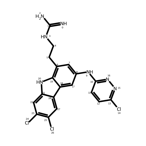 N=C(N)NCCc1cc(Nc2ccc(Cl)nn2)cc2c1[nH]c1cc(Cl)c(Cl)cc12